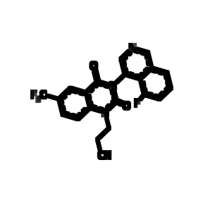 N#CCCn1c(=O)n(-c2cncc3cccc(F)c23)c(=O)c2cc(C(F)(F)F)ccc21